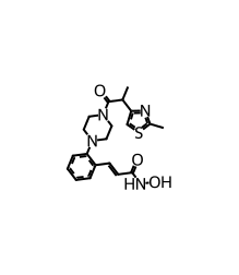 Cc1nc(C(C)C(=O)N2CCN(c3ccccc3C=CC(=O)NO)CC2)cs1